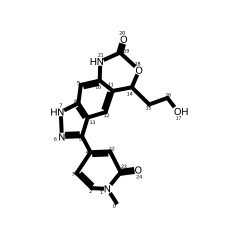 Cn1ccc(-c2n[nH]c3cc4c(cc23)C(CCO)OC(=O)N4)cc1=O